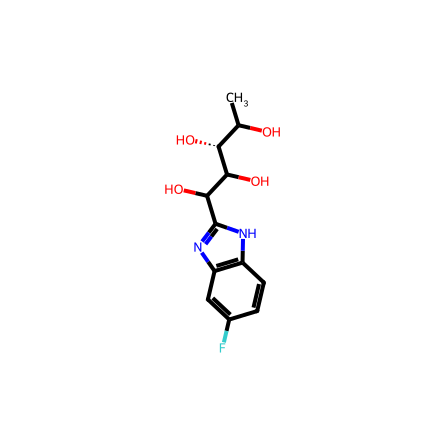 CC(O)[C@@H](O)C(O)C(O)c1nc2cc(F)ccc2[nH]1